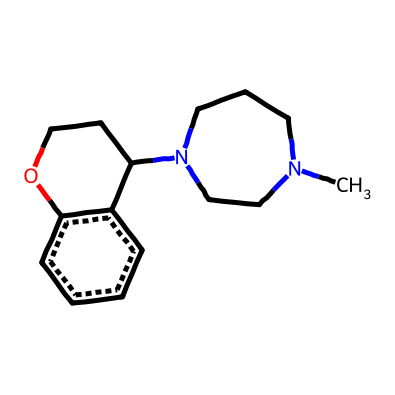 CN1CCCN(C2CCOc3ccccc32)CC1